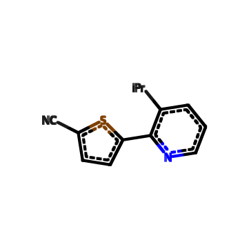 CC(C)c1cccnc1-c1ccc(C#N)s1